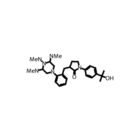 CNC1CN(c2ccccc2CC2CCN(c3ccc(C(C)(C)O)cc3)C2=O)CC(NC)N1NC